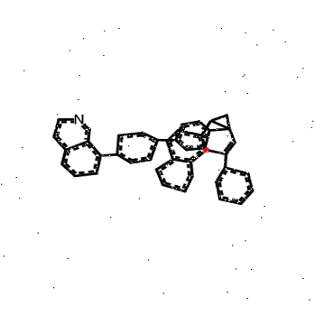 C1=C(c2ccccc2)c2c(ccc3ccccc23)C2CC12c1ccc(-c2ccc(-c3cccc4ccncc34)cc2)cc1